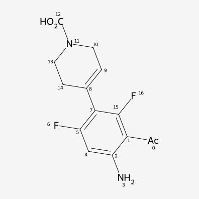 CC(=O)c1c(N)cc(F)c(C2=CCN(C(=O)O)CC2)c1F